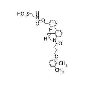 Cc1cccc(OCCCC(=O)N2C[C@H]3C[C@H]3c3c(-c4cccc(COC(=O)NCCS(=O)(=O)O)c4)cccc32)c1C